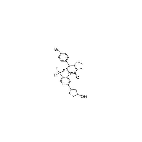 O=c1c2c(c(-c3ccc(Br)cc3)nn1-c1cc(N3CCC(O)C3)ccc1C(F)(F)F)CCC2